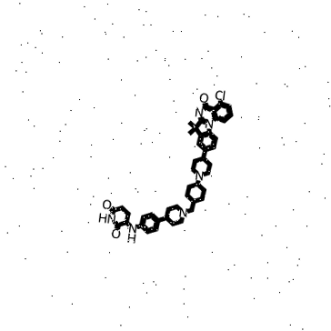 CC1(C)c2cc(C3CCN(C4CCC(CN5CCC(c6ccc(NC7CCC(=O)NC7=O)cc6)CC5)CC4)CC3)ccc2-n2c1nc(=O)c1c(Cl)cccc12